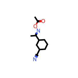 CC(=O)O/N=C(\C)C1CCCC(C#N)C1